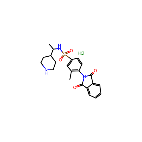 Cc1cc(S(=O)(=O)NC(C)C2CCNCC2)ccc1N1C(=O)c2ccccc2C1=O.Cl